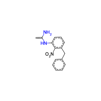 C=C(N)Nc1cccc(Cc2ccccc2)c1[N+](=O)[O-]